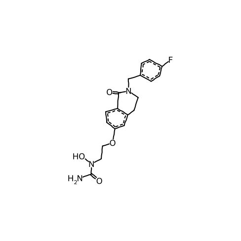 NC(=O)N(O)CCOc1ccc2c(c1)CCN(Cc1ccc(F)cc1)C2=O